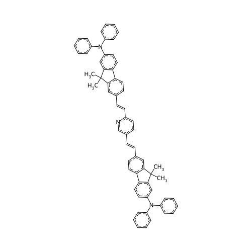 CC1(C)c2cc(/C=C/c3ccc(/C=C/c4ccc5c(c4)C(C)(C)c4cc(N(c6ccccc6)c6ccccc6)ccc4-5)nc3)ccc2-c2ccc(N(c3ccccc3)c3ccccc3)cc21